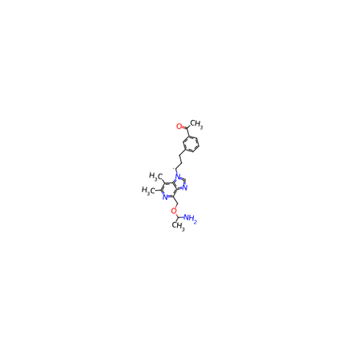 CC(=O)c1cccc(CC[CH]n2cnc3c(COC(C)N)nc(C)c(C)c32)c1